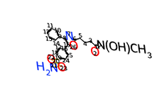 CN(O)C(=O)CCCc1nc(-c2ccccc2)c(-c2ccc(S(N)(=O)=O)cc2)o1